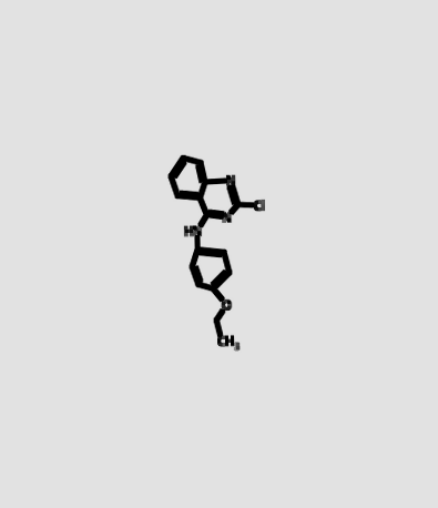 CCOc1ccc(Nc2nc(Cl)nc3ccccc23)cc1